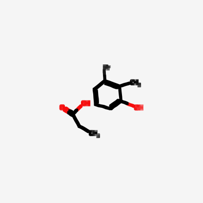 CCC(=O)O.Cc1c(O)cccc1C(C)C